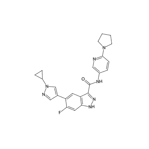 O=C(Nc1ccc(N2CCCC2)nc1)c1n[nH]c2cc(F)c(-c3cnn(C4CC4)c3)cc12